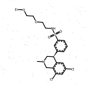 CCOCCOCCNS(=O)(=O)c1cccc([C@@H]2CN(C)Cc3c(Cl)cc(Cl)cc32)c1